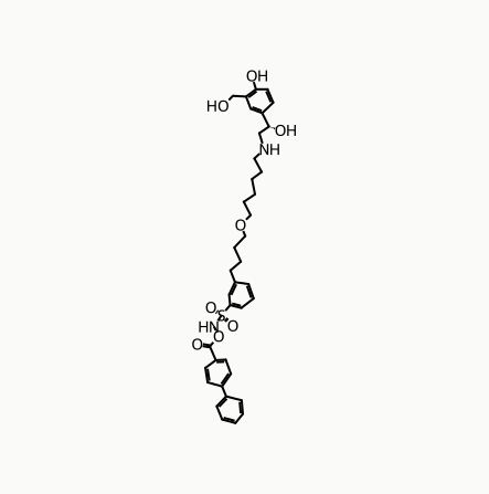 O=C(ONS(=O)(=O)c1cccc(CCCCOCCCCCCNC[C@@H](O)c2ccc(O)c(CO)c2)c1)c1ccc(-c2ccccc2)cc1